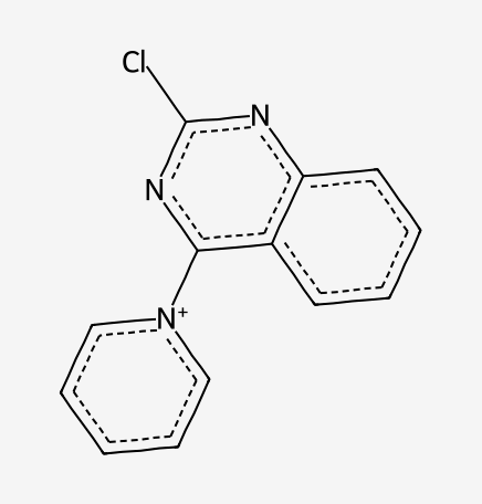 Clc1nc(-[n+]2ccccc2)c2ccccc2n1